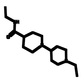 CCNC(=O)C1CCN(C2CCN(CC)CC2)CC1